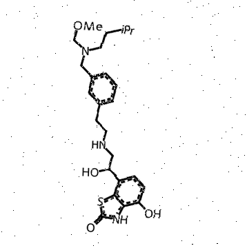 COCN(CCC(C)C)Cc1cccc(CCNCC(O)c2ccc(O)c3[nH]c(=O)sc23)c1